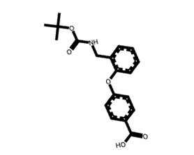 CC(C)(C)OC(=O)NCc1ccccc1Oc1ccc(C(=O)O)cc1